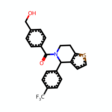 O=C(c1ccc(CO)cc1)N1CCc2sccc2C1c1ccc(C(F)(F)F)cc1